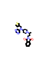 CC(CCN1C(=O)c2ccccc2C1=O)N1CCC(N(Cc2ccsc2)c2cncnc2)CC1